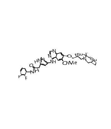 [CH2]C(N(CCCOc1cc2ncnc(Nc3cc(CC(=O)Nc4cccc(F)c4F)[nH]n3)c2cc1OC)CC1CCC1)(C(C)(C)C)C(C)(C)C